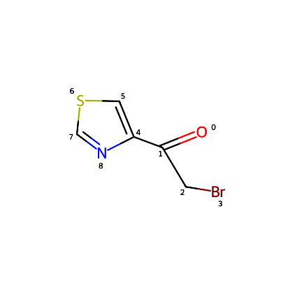 O=C(CBr)c1cscn1